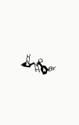 O=C(NCC1CC2CC2N1)c1cccc(Br)c1